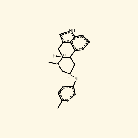 Cc1ccc(N[C@H]2CC3c4cccc5[nH]cc(c45)C[C@H]3N(C)C2)cn1